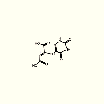 O=C(O)/C=C(\Nc1c[nH]c(=O)[nH]c1=O)C(=O)O